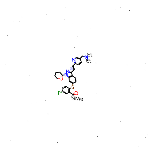 CCN(CC)Cc1ccc(/C=C/c2nn(C3CCCCO3)c3cc(Sc4ccc(F)cc4C(=O)NC)ccc23)nc1